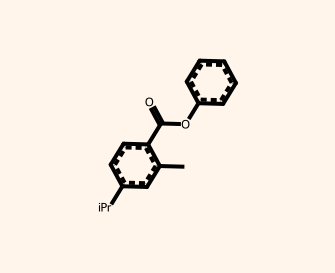 Cc1cc(C(C)C)ccc1C(=O)Oc1ccccc1